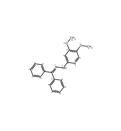 COc1cnc(NN=C(c2ccccc2)c2ccccc2)cc1OC